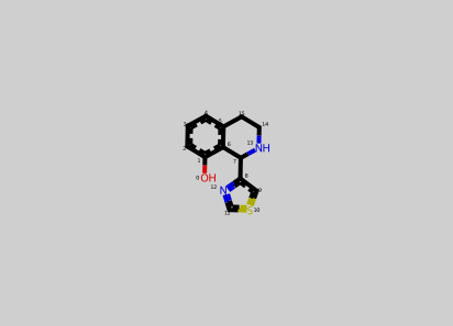 Oc1cccc2c1C(c1cscn1)NCC2